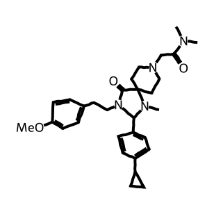 COc1ccc(CCN2C(=O)C3(CCN(CC(=O)N(C)C)CC3)N(C)C2c2ccc(C3CC3)cc2)cc1